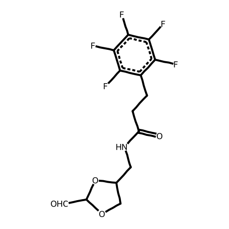 O=CC1OCC(CNC(=O)CCc2c(F)c(F)c(F)c(F)c2F)O1